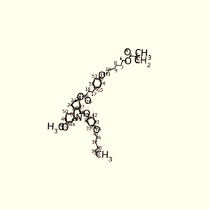 C=C(C)C(=O)OCCCCCCOc1ccc(CCC(=O)Oc2ccc3c(c2)c(Oc2ccc(OCCCCCC)cc2)nc2cc(OC)ccc23)cc1